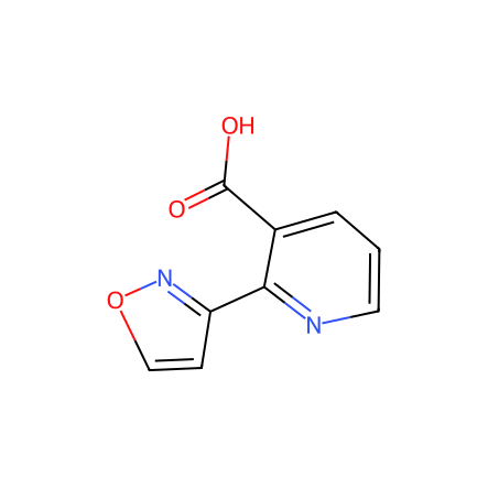 O=C(O)c1cccnc1-c1ccon1